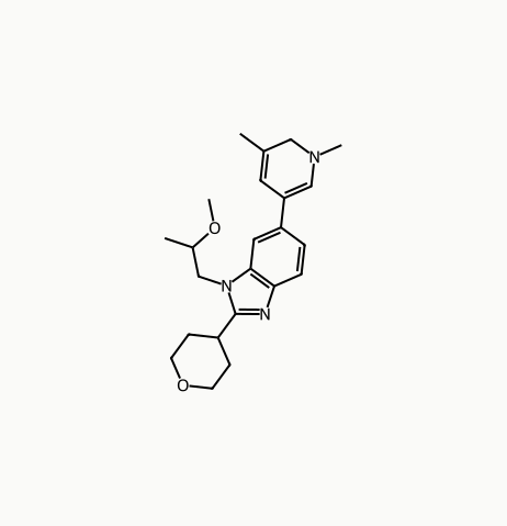 COC(C)Cn1c(C2CCOCC2)nc2ccc(C3=CN(C)CC(C)=C3)cc21